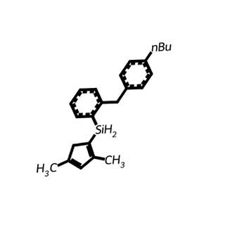 CCCCc1ccc(Cc2ccccc2[SiH2]C2=C(C)C=C(C)C2)cc1